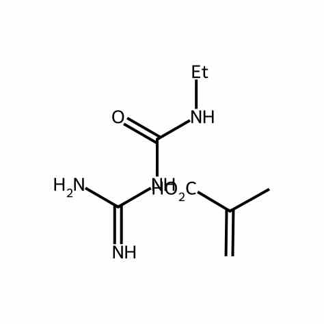 C=C(C)C(=O)O.CCNC(=O)NC(=N)N